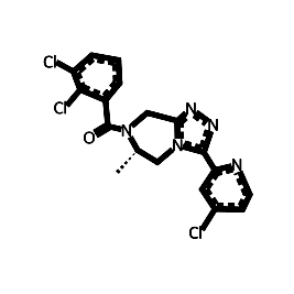 C[C@H]1Cn2c(nnc2-c2cc(Cl)ccn2)CN1C(=O)c1cccc(Cl)c1Cl